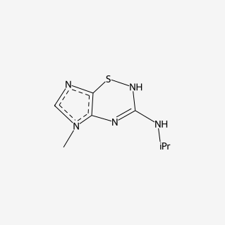 CC(C)NC1=Nc2c(ncn2C)SN1